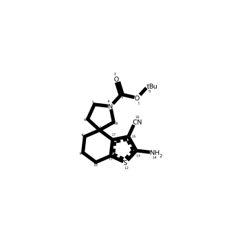 CC(C)(C)OC(=O)N1CCC2(CCCc3sc(N)c(C#N)c32)C1